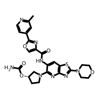 Cc1cc(-c2nc(C(=O)Nc3cc4sc(N5CCOCC5)nc4nc3N3CC[C@H](OC(N)=O)C3)co2)ccn1